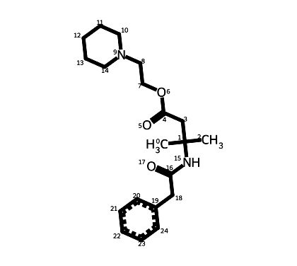 CC(C)(CC(=O)OCCN1CCCCC1)NC(=O)Cc1ccccc1